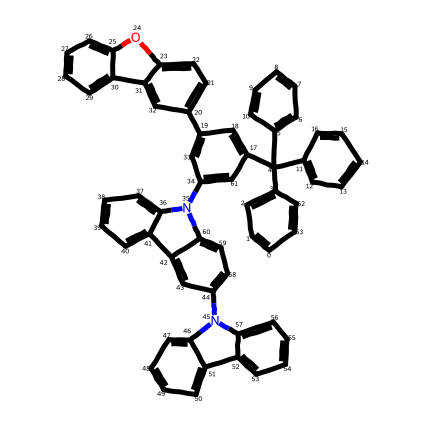 c1ccc(C(c2ccccc2)(c2ccccc2)c2cc(-c3ccc4oc5ccccc5c4c3)cc(-n3c4ccccc4c4cc(-n5c6ccccc6c6ccccc65)ccc43)c2)cc1